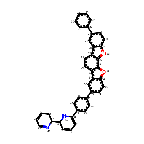 C1=CCC(C2C=CC=C(c3ccc(-c4ccc5oc6c(ccc7c8cc(-c9ccccc9)ccc8oc76)c5c4)cc3)N2)N=C1